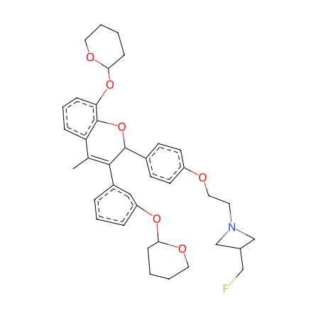 CC1=C(c2cccc(OC3CCCCO3)c2)C(c2ccc(OCCN3CC(CF)C3)cc2)Oc2c(OC3CCCCO3)cccc21